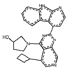 OC1CCN(c2nc(-c3ccnc4[nH]c5ccccc5c34)nc3cncc(C4CCC4)c23)C1